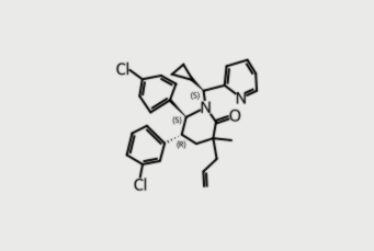 C=CCC1(C)C[C@H](c2cccc(Cl)c2)[C@@H](c2ccc(Cl)cc2)N([C@H](c2ccccn2)C2CC2)C1=O